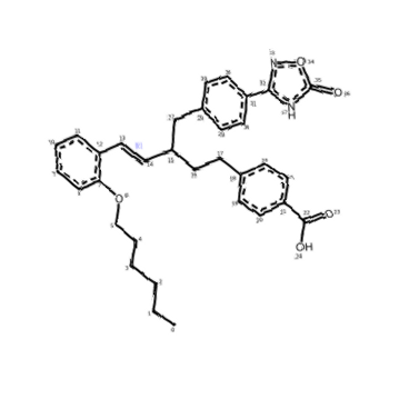 CCCCCCOc1ccccc1/C=C/C(CCc1ccc(C(=O)O)cc1)Cc1ccc(-c2noc(=O)[nH]2)cc1